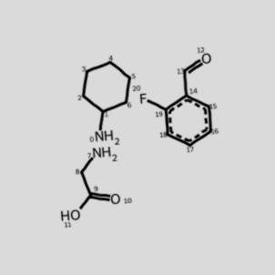 NC1CCCCC1.NCC(=O)O.O=Cc1ccccc1F